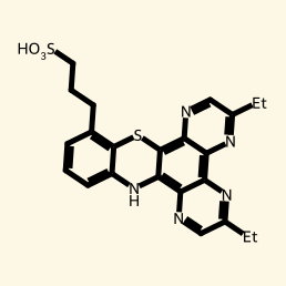 CCc1cnc2c3c(c4ncc(CC)nc4c2n1)Sc1c(CCCS(=O)(=O)O)cccc1N3